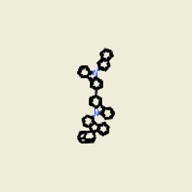 c1ccc2c(c1)-c1c(-n3c4ccccc4c4cc(-c5ccc6c(c5)c5ccccc5n6-c5ccc6ccccc6c5)ccc43)cccc1C21C2CC3CC(C2)CC1C3